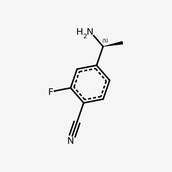 C[C@H](N)c1ccc(C#N)c(F)c1